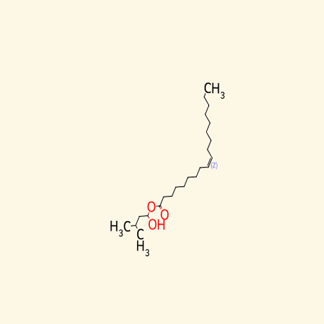 CCCCCCCC/C=C\CCCCCCCC(=O)OC(O)CC(C)C